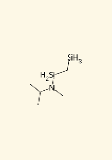 CC(C)N(C)[SiH2]C[SiH3]